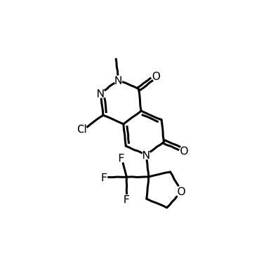 Cn1nc(Cl)c2cn(C3(C(F)(F)F)CCOC3)c(=O)cc2c1=O